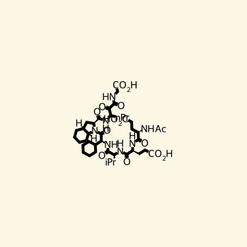 CCCC(NC(=O)[C@@H]1C[C@@H]2CCCC[C@@H]2N1C(=O)[C@@H](NC(=O)[C@@H](NC(=O)[C@H](CCC(=O)O)NC(=O)[C@H](CCC(=O)O)NC(C)=O)C(C)C)C1CCCCC1)C(=O)C(=O)NCC(=O)O